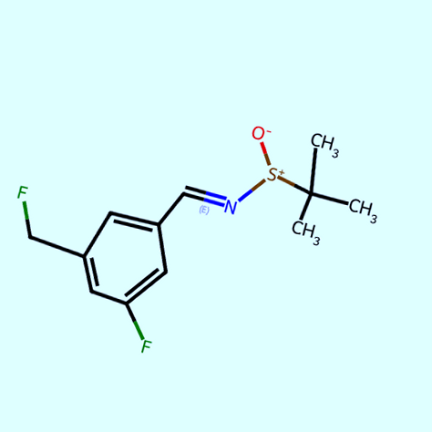 CC(C)(C)[S+]([O-])/N=C/c1cc(F)cc(CF)c1